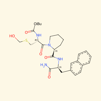 CC(C)COC(=O)N[C@@H](CSCO)C(=O)N1CCCC[C@H]1C(=O)N[C@@H](Cc1ccc2ccccc2c1)C(N)=O